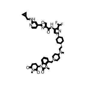 CN1C(=O)CCC(n2c(=O)n(C)c3c(CN4CCC(N(C)CC[C@H]5CC[C@H](n6cc(NC(=O)c7coc(-c8ccnc(NCC9CC9)c8)n7)c(C(F)F)n6)CC5)CC4)cccc32)C1=O